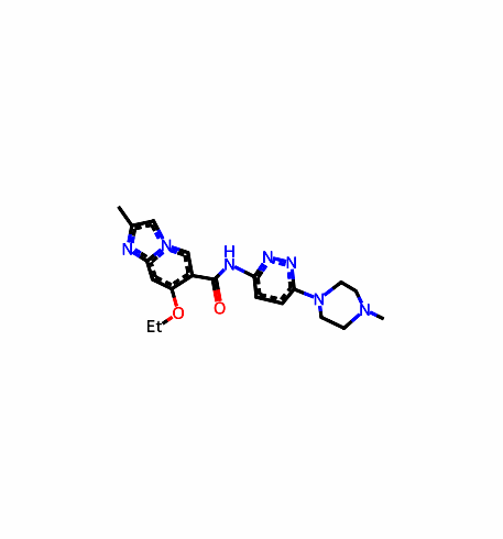 CCOc1cc2nc(C)cn2cc1C(=O)Nc1ccc(N2CCN(C)CC2)nn1